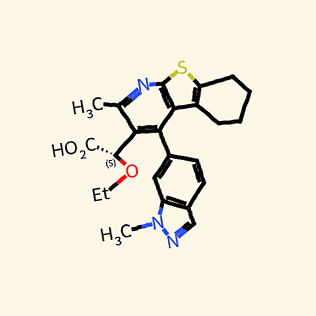 CCO[C@H](C(=O)O)c1c(C)nc2sc3c(c2c1-c1ccc2cnn(C)c2c1)CCCC3